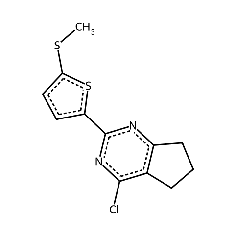 CSc1ccc(-c2nc(Cl)c3c(n2)CCC3)s1